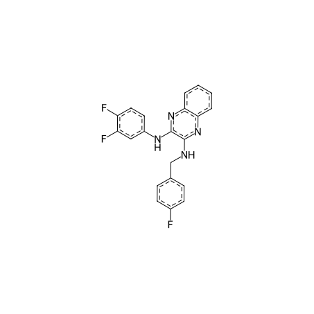 Fc1ccc(CNc2nc3ccccc3nc2Nc2ccc(F)c(F)c2)cc1